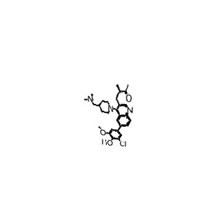 COc1cc(-c2ccc3ncc(CC(C)C(C)=O)c(N4CCC(CN(C)C)CC4)c3c2)cc(Cl)c1O